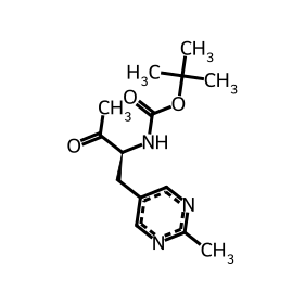 CC(=O)[C@H](Cc1cnc(C)nc1)NC(=O)OC(C)(C)C